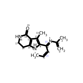 C=C(C)/N=C(\C=C/C)c1[nH]c2c(c1C)C(=O)NCC2